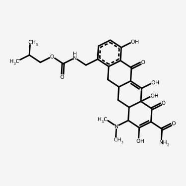 CC(C)COC(=O)NCc1ccc(O)c2c1CC1CC3C(N(C)C)C(O)=C(C(N)=O)C(=O)C3(O)C(O)=C1C2=O